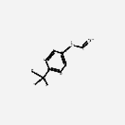 CC(C)(C)c1ccc(OC=O)cc1